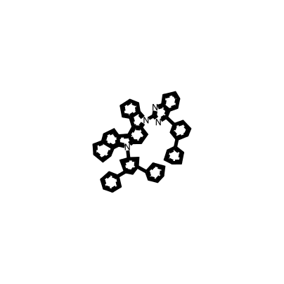 c1ccc(-c2cccc(-c3nc(-n4c5ccccc5c5c6c7ccc8ccccc8c7n(-c7cc(-c8ccccc8)cc(-c8ccccc8)c7)c6ccc54)nc4ccccc34)c2)cc1